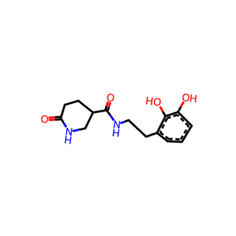 O=C1CCC(C(=O)NCCc2cccc(O)c2O)CN1